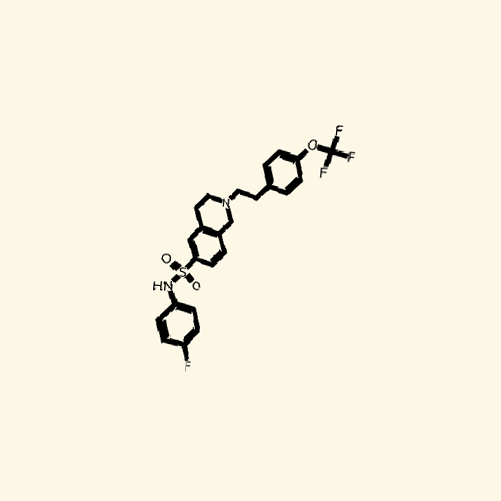 O=S(=O)(Nc1ccc(F)cc1)c1ccc2c(c1)CCN(CCc1ccc(OC(F)(F)F)cc1)C2